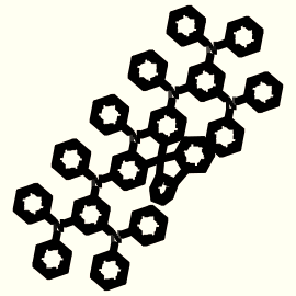 c1ccc(N(c2ccccc2)c2cc(N(c3ccccc3)c3ccccc3)cc(N(c3ccccc3)c3ccc4c(c3)N(c3ccccc3)c3cc(N(c5ccccc5)c5cc(N(c6ccccc6)c6ccccc6)cc(N(c6ccccc6)c6ccccc6)c5)ccc3C43c4ccccc4-c4ccccc43)c2)cc1